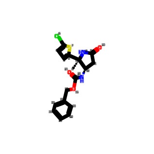 C[C@]1(c2ccc(Cl)s2)NC(=O)C[C@@H]1NC(=O)OCc1ccccc1